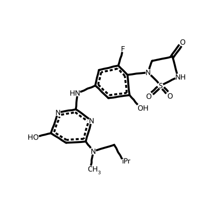 CC(C)CN(C)c1cc(O)nc(Nc2cc(O)c(N3CC(=O)NS3(=O)=O)c(F)c2)n1